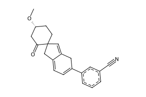 CO[C@@H]1CCC2(C=C3CC(c4cccc(C#N)c4)=CC=C3C2)C(=O)C1